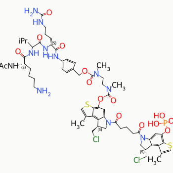 CC(=O)N[C@@H](CCCCN)C(=O)NC(C(=O)N[C@@H](CCCNC(N)=O)C(=O)Nc1ccc(COC(=O)N(C)CCN(C)C(=O)Oc2cc3c(c4c(C)csc24)[C@H](CCl)CN3C(=O)CCCC(=O)N2C[C@@H](CCl)c3c2cc(OP(=O)(O)O)c2scc(C)c32)cc1)C(C)C